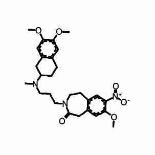 COc1cc2c(cc1OC)CC(N(C)CCCN1CCc3cc([N+](=O)[O-])c(OC)cc3CC1=O)CC2